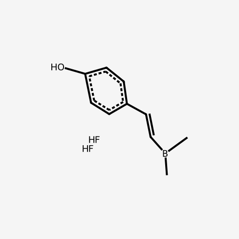 CB(C)C=Cc1ccc(O)cc1.F.F